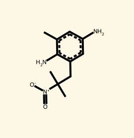 Cc1cc(N)cc(CC(C)(C)[N+](=O)[O-])c1N